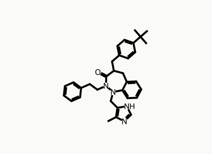 Cc1nc[nH]c1CN1c2ccccc2CC(Cc2ccc(C(C)(C)C)cc2)C(=O)N1CCc1ccccc1